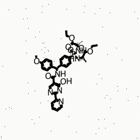 CCOC(=O)[C@H](C)NP(=O)(N[C@H](C)C(=O)OCC)c1ccc(C(NC(=O)c2cnc(-c3ccccn3)nc2O)c2ccc(OC)cc2)cc1